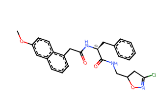 COc1ccc2c(CC(=O)N[C@@H](Cc3ccccc3)C(=O)NCC3CC(Cl)=NO3)cccc2c1